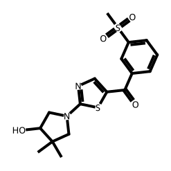 CC1(C)CN(c2ncc(C(=O)c3cccc(S(C)(=O)=O)c3)s2)CC1O